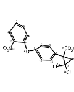 O=C(O)C1(c2ccc(Oc3ccccc3[N+](=O)[O-])cc2)CC1(Cl)Cl